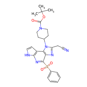 CC(C)(C)OC(=O)N1CCC(n2c(CC#N)nc3c(S(=O)(=O)c4ccccc4)nc4[nH]ccc4c32)CC1